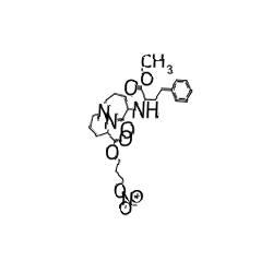 CCOC(=O)C(CCc1ccccc1)NC1CCCN2CCCC(C(=O)OCCCO[N+](=O)[O-])N2C1=O